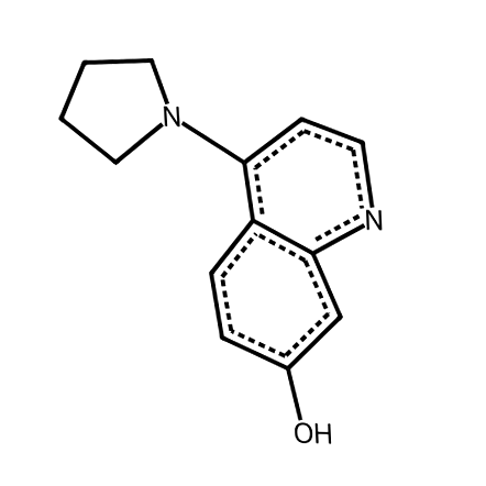 Oc1ccc2c(N3CCCC3)ccnc2c1